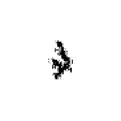 Cc1ccc(CNC(=O)C(=O)N2CC3CN(C(=O)c4ccc(Nc5nc(NC6(c7ccc(Cl)cc7)CC6)nc(OCC(F)(F)F)n5)cc4)CC3C2)cc1